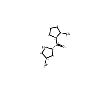 N#C[C@@H]1CCCN1C(=O)[C@@H]1C[C@@H](O)CN1